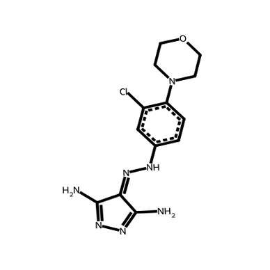 NC1=NN=C(N)C1=NNc1ccc(N2CCOCC2)c(Cl)c1